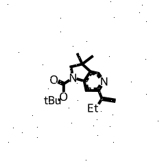 C=C(CC)c1cc2c(cn1)C(C)(C)CN2C(=O)OC(C)(C)C